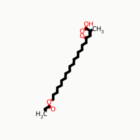 C=CC(=O)OCCCCCCCCCCCCCCCCCC(=O)C=C(C)C(=O)O